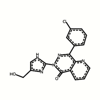 O=c1c2cccnc2c(-c2cccc(Cl)c2)nn1-c1nc(CO)c[nH]1